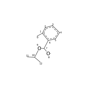 Cc1ccccc1C([O])OC(C)C